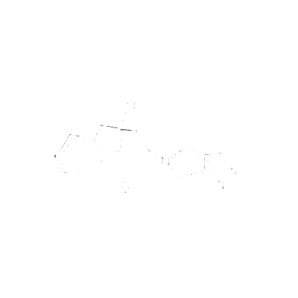 CC(C)(Cc1ccccc1CCl)OC(=O)N1Cc2c[nH]nc2C1